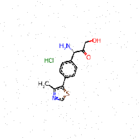 Cc1ncsc1-c1ccc([C@H](N)C(=O)CO)cc1.Cl